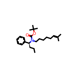 CCC[C@@H](c1ccccc1)N(CCCCCC=C(C)C)C(=O)OC(C)(C)C